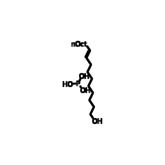 CCCCCCCCC=CCCCCCCCCO.OP(O)O